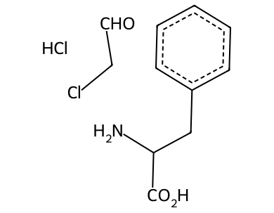 Cl.NC(Cc1ccccc1)C(=O)O.O=CCCl